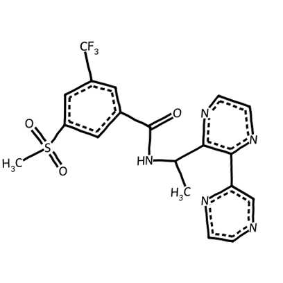 CC(NC(=O)c1cc(C(F)(F)F)cc(S(C)(=O)=O)c1)c1nccnc1-c1cnccn1